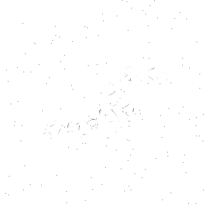 C/C=C\C(=C/C)COC(=O)N(C)CCN(C)C(=O)Oc1cc2c(c3c(C)cccc13)[C@H](CCl)CN2C(=O)c1cn2cc(NC(=O)c3ccc(O)cc3)ccc2n1